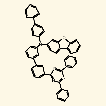 c1ccc(-c2ccc(N(c3cccc(-c4cccc(-c5nc(-c6ccccc6)nc(-c6ccccc6)n5)c4)c3)c3ccc4c(c3)oc3ccccc34)cc2)cc1